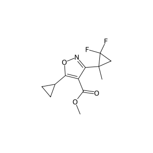 COC(=O)c1c(C2(C)CC2(F)F)noc1C1CC1